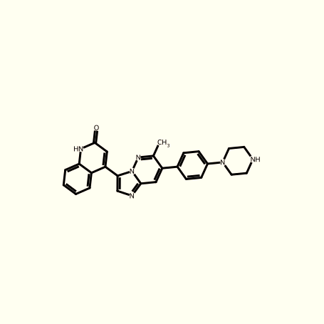 Cc1nn2c(-c3cc(=O)[nH]c4ccccc34)cnc2cc1-c1ccc(N2CCNCC2)cc1